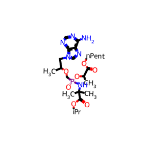 CCCCCOC(=O)C(C)OP(=O)(COC(C)Cn1cnc2c(N)ncnc21)NC(C)(C)C(=O)OC(C)C